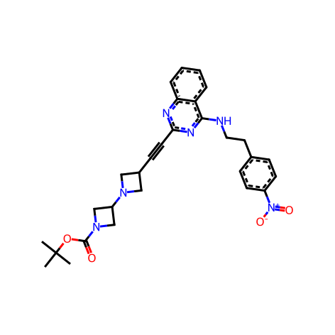 CC(C)(C)OC(=O)N1CC(N2CC(C#Cc3nc(NCCc4ccc([N+](=O)[O-])cc4)c4ccccc4n3)C2)C1